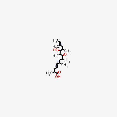 C/C=C(\C)CC(C)C(O)C(C)C(=O)C(C)/C=C(C)/C=C/CC(C)C(=O)O